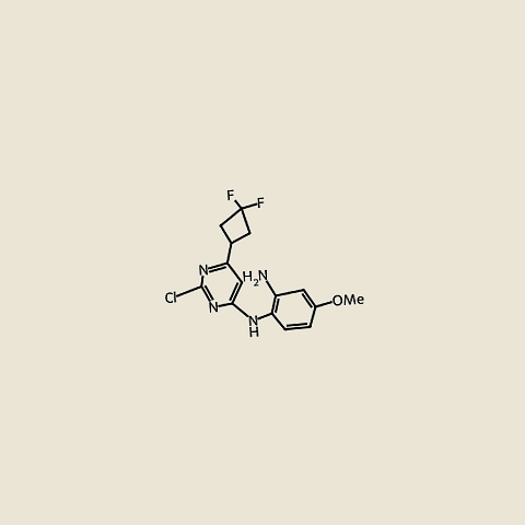 COc1ccc(Nc2cc(C3CC(F)(F)C3)nc(Cl)n2)c(N)c1